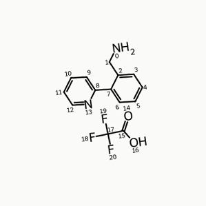 NCc1ccccc1-c1ccccn1.O=C(O)C(F)(F)F